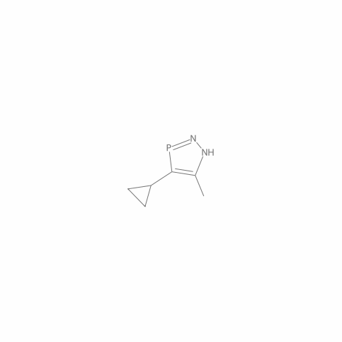 Cc1[nH]npc1C1CC1